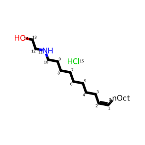 CCCCCCCC/C=C\CCCCCCCCNCCO.Cl